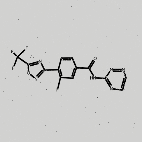 O=C(Nc1nccnn1)c1ccc(-c2noc(C(F)(F)F)n2)c(F)c1